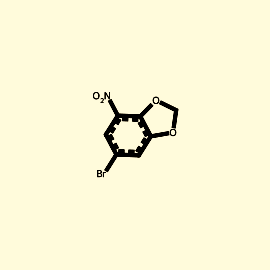 O=[N+]([O-])c1cc(Br)cc2c1OCO2